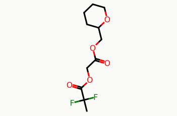 CC(F)(F)C(=O)OCC(=O)OCC1CCCCO1